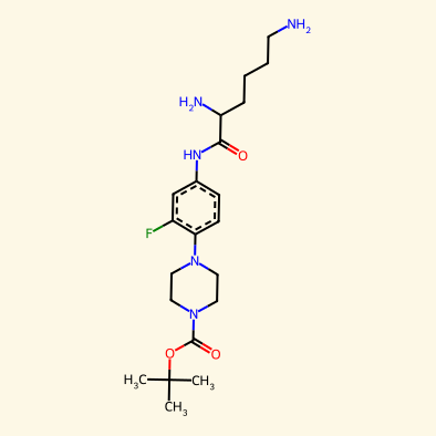 CC(C)(C)OC(=O)N1CCN(c2ccc(NC(=O)C(N)CCCCN)cc2F)CC1